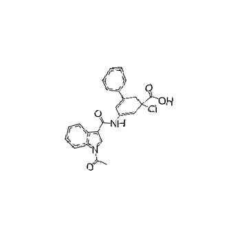 CC(=O)n1cc(C(=O)NC2=CC(Cl)(C(=O)O)CC(c3ccccc3)=C2)c2ccccc21